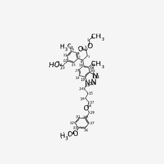 CCOC(=O)CC(c1cc(C)cc(CO)c1)c1ccc2c(nnn2CCCCOCc2ccc(OC)cc2)c1C